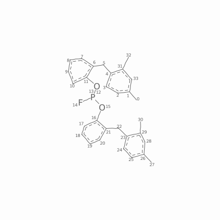 Cc1ccc(Cc2ccccc2OP(F)Oc2ccccc2Cc2ccc(C)cc2C)c(C)c1